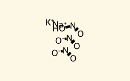 O=NO.O=N[O-].O=N[O-].[K+].[Na+]